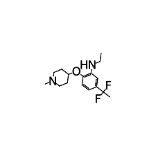 CCNc1cc(C(C)(F)F)ccc1OC1CCN(C)CC1